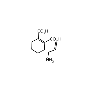 C=CCN.O=C(O)C1=C(C(=O)O)CCCC1